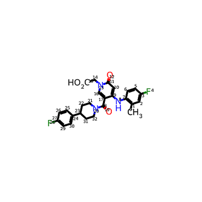 Cc1cc(F)ccc1Nc1cc(=O)n(CC(=O)O)cc1C(=O)N1CCC(c2ccc(F)cc2)CC1